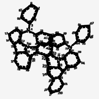 c1ccc(N(c2ccccc2)c2cccc3c4cccc5c6c7c8cc9ccccc9c9c%10cccc(N(c%11ccccc%11)c%11ccccc%11)c%10n(c7ccc6n(c23)c45)c89)cc1